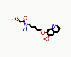 COc1cc2cccnc2cc1OCCCCCNC(=O)CS